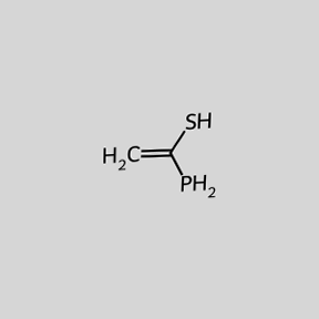 C=C(P)S